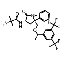 C[C@@H](OC[C@@]1(c2ccccc2)C[C@H](NC(=O)C(C)(C)N)C(=O)N1)c1cc(C(F)(F)F)cc(C(F)(F)F)c1